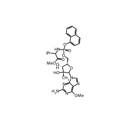 COC(=O)C(NP(=O)(OC[C@H]1OC(n2cnc3c(OC)nc(N)nc32)[C@](C)(O)[C@@H]1O)Oc1cccc2ccccc12)C(C)C